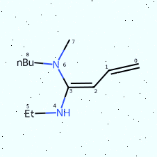 C=C/C=C(/NCC)N(C)CCCC